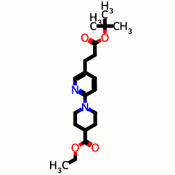 CCOC(=O)C1CCN(c2ccc(CCC(=O)OC(C)(C)C)cn2)CC1